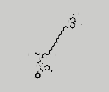 CC[C@H]1C[C@H](C)[C@@]2(NC1=O)O[C@@H](C[C@H](O)[C@@H](C)CC/C=C/C=C(\C)[C@@H](O)C/C=C/C=C/[C@@H](O)[C@H](C)[C@@H](O)[C@@H](CCC(C)=O)C(=O)N[C@H](CON[C@@H](Cc1cccc(O)c1)C(=O)N1CCC[C@@H](C(=O)O)N1)C(C)C)[C@H](C)[C@H](O)[C@@H]2C